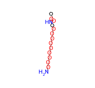 NCCOCCOCCOCCOCCOCCOCCOCCOCCOc1ccc(NC(=O)OCc2ccccc2)cc1